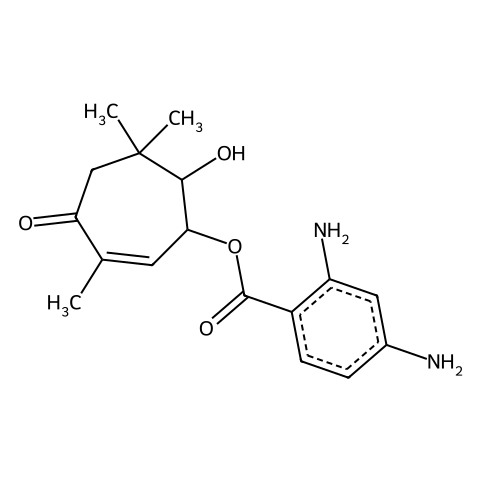 CC1=CC(OC(=O)c2ccc(N)cc2N)C(O)C(C)(C)CC1=O